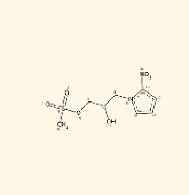 CS(=O)(=O)OCC(O)Cn1cccc1[N+](=O)[O-]